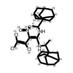 CC(NC(NC(C)C12CC3CC(CC(C3)C1)C2)=C(C(Cl)=C(Cl)Cl)[N+](=O)[O-])C12CC3CC(CC(C3)C1)C2